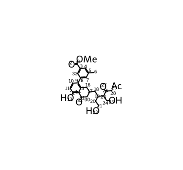 COC(=O)c1cc(C)cc(-c2ccc(O)c3c2CC(CC(CCO)C(CO)C(=O)CC(C)=O)CC3=O)c1